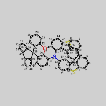 c1ccc(-c2cccc3sc4ccc(N(c5cccc6c5Oc5ccccc5C65c6ccccc6-c6ccccc65)c5cccc6sc7ccccc7c56)cc4c23)cc1